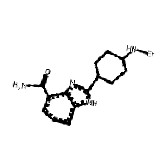 CCNC1CCC(c2nc3c(C(N)=O)cccc3[nH]2)CC1